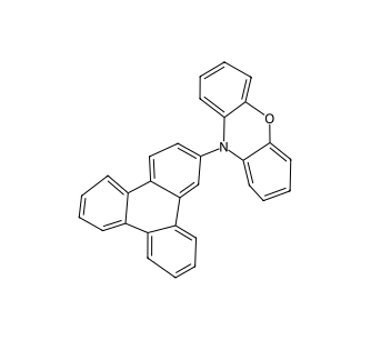 c1ccc2c(c1)Oc1ccccc1N2c1ccc2c3ccccc3c3ccccc3c2c1